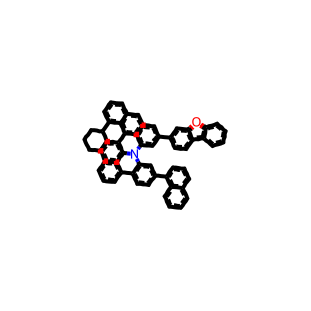 c1ccc(-c2ccc(-c3cccc4ccccc34)cc2N(c2cccc(-c3ccc4c(c3)oc3ccccc34)c2)c2ccccc2-c2cccc3cccc(C4CCCCC4)c23)cc1